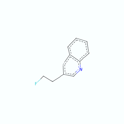 FCCc1cnc2ccccc2c1